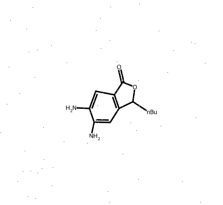 CCCCC1OC(=O)c2cc(N)c(N)cc21